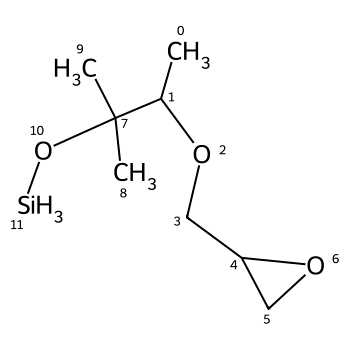 CC(OCC1CO1)C(C)(C)O[SiH3]